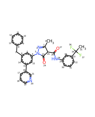 CC1=NN(c2cc(Cc3ccccc3)cc(-c3cccnc3)c2)C(=O)C1C(=O)Nc1cccc(C(C)(F)F)c1